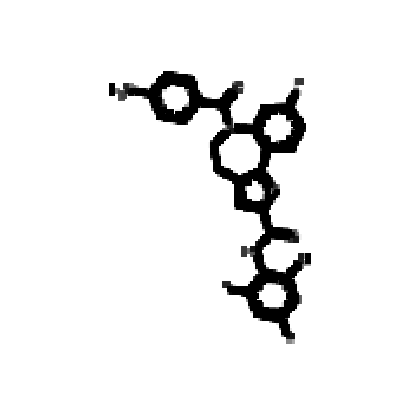 Nc1ccc(C(=O)N2CCc3cc(C(=O)Nc4c(F)cc(F)cc4Cl)sc3-c3ccc(F)cc32)cc1